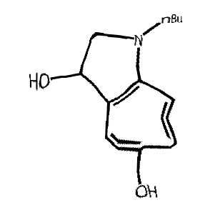 CCCCN1CC(O)c2cc(O)ccc21